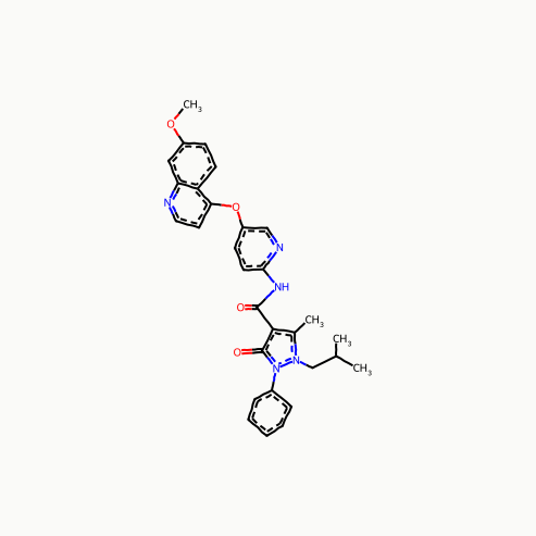 COc1ccc2c(Oc3ccc(NC(=O)c4c(C)n(CC(C)C)n(-c5ccccc5)c4=O)nc3)ccnc2c1